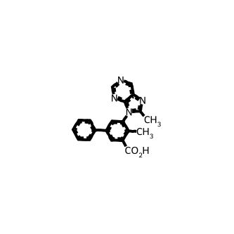 Cc1c(C(=O)O)cc(-c2ccccc2)cc1-n1c(C)nc2cncnc21